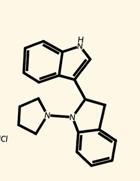 Cl.c1ccc2c(c1)CC(c1c[nH]c3ccccc13)N2N1CCCC1